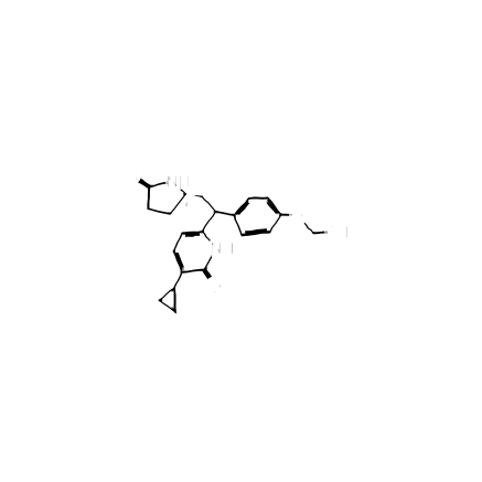 CCOc1ccc(C(C[C@H]2CCC(=O)N2)c2ccc(C3CC3)c(=O)[nH]2)cc1